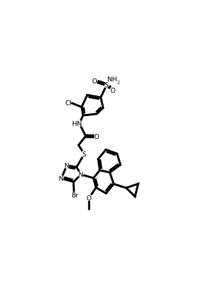 COc1cc(C2CC2)c2ccccc2c1-n1c(Br)nnc1SCC(=O)Nc1ccc(S(N)(=O)=O)cc1Cl